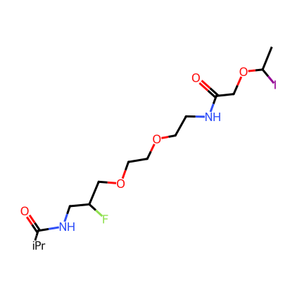 CC(I)OCC(=O)NCCOCCOCC(F)CNC(=O)C(C)C